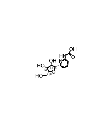 O=C(O)Nc1cccc([C@@H]2O[C@H](CO)[C@@H](O)[C@H]2O)n1